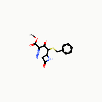 CC(C)(C)OC(=O)C(=[N+]=[N-])C(=O)C(SCc1ccccc1)C1CC(=O)N1